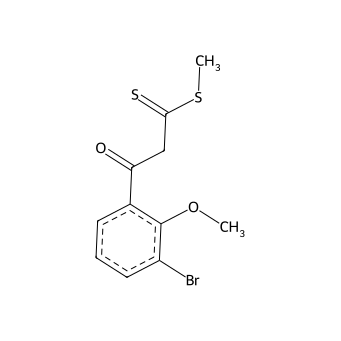 COc1c(Br)cccc1C(=O)CC(=S)SC